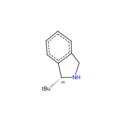 CC(C)(C)[C@H]1NCc2ccccc21